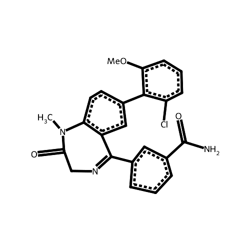 COc1cccc(Cl)c1-c1ccc2c(c1)C(c1cccc(C(N)=O)c1)=NCC(=O)N2C